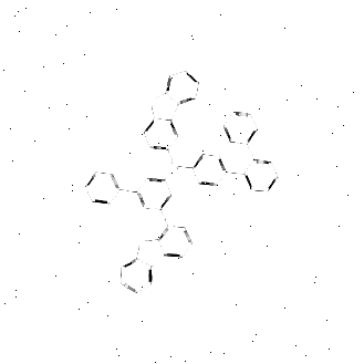 c1ccc(-c2cc(-c3cccc4c3sc3ccccc34)cc(N(c3ccc(-c4ccccc4-c4ccccc4)cc3)c3ccc4sc5ccccc5c4c3)c2)cc1